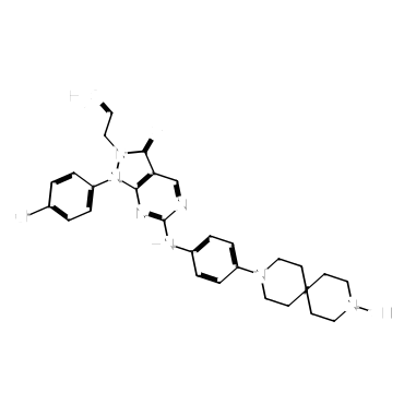 C=CCn1c(=O)c2cnc(Nc3ccc(N4CCC5(CCN(C)CC5)CC4)cc3)nc2n1-c1ccc(Cl)cc1